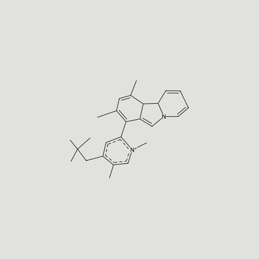 CC1=CC(C)=C(c2cc(CC(C)(C)C)c(C)c[n+]2C)C2=CN3C=CC=CC3C12